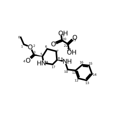 CCOC(=O)[C@H]1CC[C@@H](NCc2ccccc2)CN1.O=C(O)C(=O)O